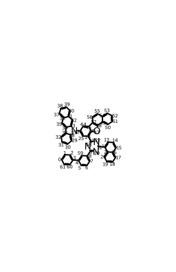 c1ccc(-c2cccc(-c3nc(-c4cccc5ccccc45)nc(-c4cc(-n5c6ccccc6c6cc7ccccc7cc65)cc5c4oc4c6ccccc6ccc54)n3)c2)cc1